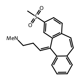 CNCCC=C1c2ccccc2C=Cc2ccc(S(C)(=O)=O)cc21